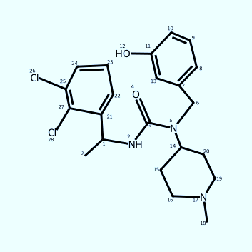 CC(NC(=O)N(Cc1cccc(O)c1)C1CCN(C)CC1)c1cccc(Cl)c1Cl